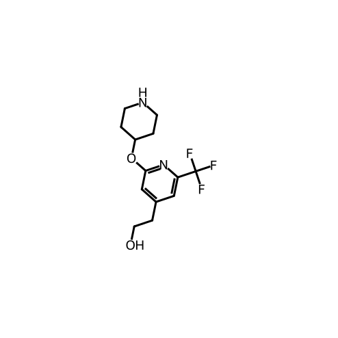 OCCc1cc(OC2CCNCC2)nc(C(F)(F)F)c1